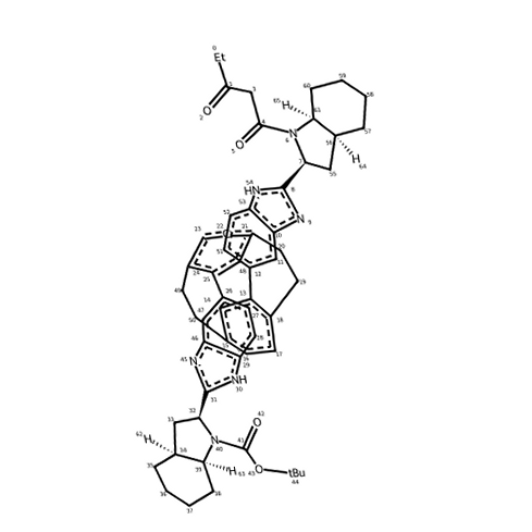 CCC(=O)CC(=O)N1[C@H](c2nc3cc(-c4cc5ccc4CCc4ccc(c(-c6ccc7[nH]c([C@@H]8C[C@@H]9CCCC[C@@H]9N8C(=O)OC(C)(C)C)nc7c6)c4)CC5)ccc3[nH]2)C[C@@H]2CCCC[C@@H]21